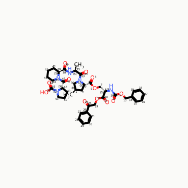 C[C@@H]1C[C@@H](C(=O)OC[C@H](NC(=O)OCc2ccccc2)C(=O)OCC(=O)c2ccccc2)N(C(=O)[C@H](C)NC(=O)[C@@H]2CCCCN2C(=O)[C@@H]2CCCN2C(=O)O)C1